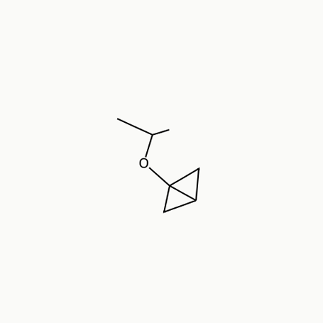 CC(C)OC12CC1C2